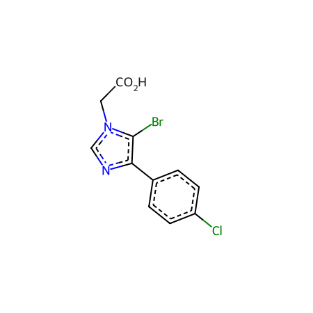 O=C(O)Cn1cnc(-c2ccc(Cl)cc2)c1Br